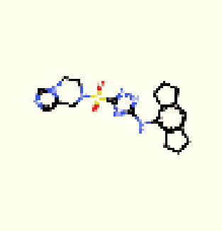 O=S(=O)(c1nnc(Nc2c3c(cc4c2CCC4)CCC3)[nH]1)N1CCn2cncc2C1